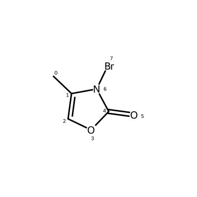 Cc1coc(=O)n1Br